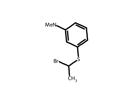 CNc1cccc(SC(C)Br)c1